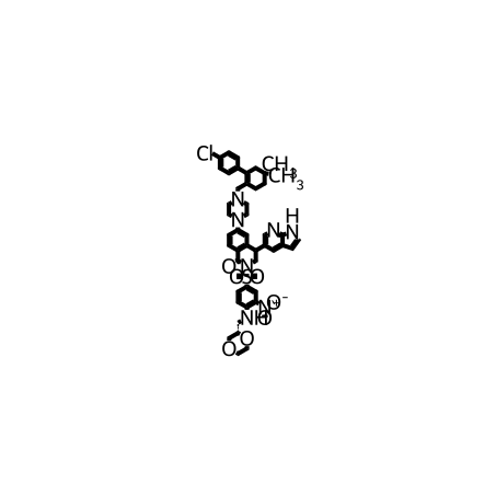 CC1(C)CCC(CN2CCN(c3ccc4c(c3)C(c3cnc5[nH]ccc5c3)CN(S(=O)(=O)c3ccc(NC[C@H]5COCCO5)c([N+](=O)[O-])c3)C4=O)CC2)=C(c2ccc(Cl)cc2)C1